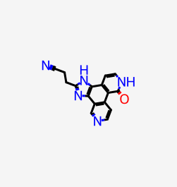 N#CCCc1nc2c3cnccc3c3c(=O)[nH]ccc3c2[nH]1